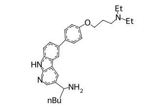 CCCCC(N)c1cnc2[nH]c3ccc(-c4ccc(OCCCN(CC)CC)cc4)cc3c2c1